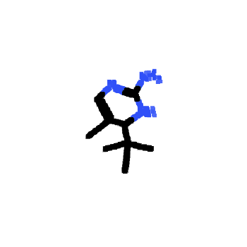 CC1=CN=C(N)NC1C(C)(C)C